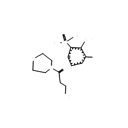 CC(=O)Nc1c(O)cccc1[As](=O)(O)O.O=C(CCS)N1CCNCC1